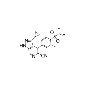 Cc1cc(-c2c(C#N)ncc3[nH]nc(C4CC4)c23)ccc1S(=O)(=O)C(F)F